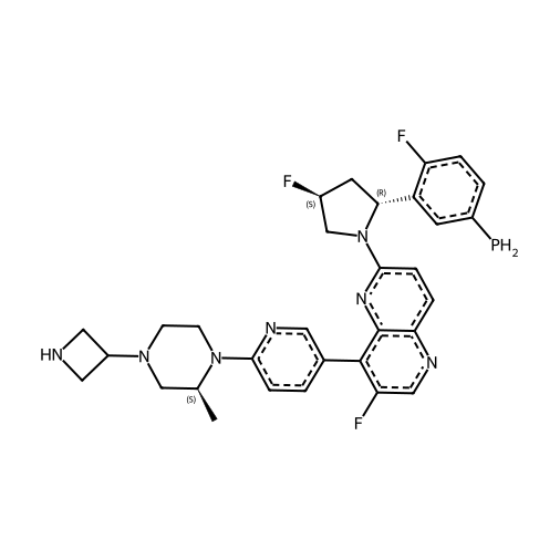 C[C@H]1CN(C2CNC2)CCN1c1ccc(-c2c(F)cnc3ccc(N4C[C@@H](F)C[C@@H]4c4cc(P)ccc4F)nc23)cn1